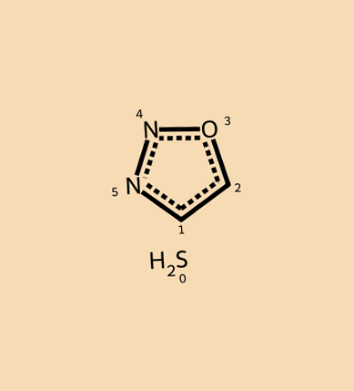 S.c1conn1